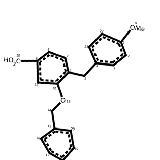 COc1ccc(Cc2ccc(C(=O)O)cc2OCc2ccccc2)cc1